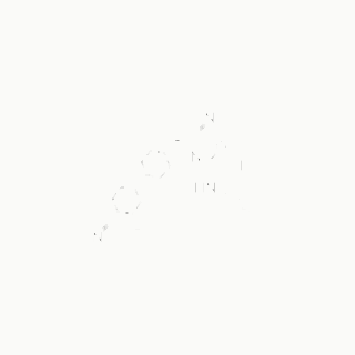 N#Cc1ccc(-c2ccc(C[C@@H](C#N)NC(=O)[C@H]3NC4[C@@H](O)C[C@@H]43)cc2)cc1F